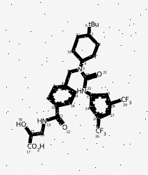 CC(C)(C)C1CCC(N(Cc2ccc(C(=O)NCC(O)C(=O)O)cc2)C(=O)Nc2cc(C(F)(F)F)cc(C(F)(F)F)c2)CC1